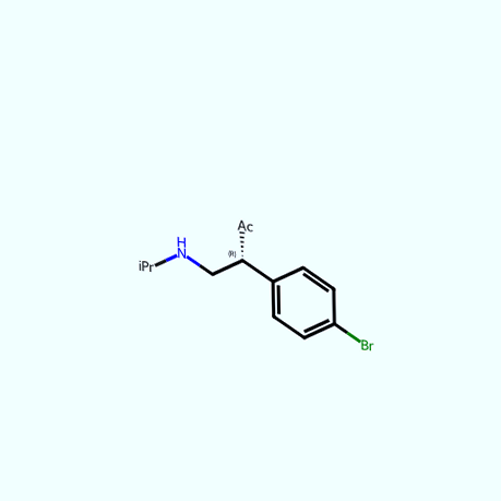 CC(=O)[C@@H](CNC(C)C)c1ccc(Br)cc1